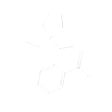 CCC[P+](CC)(CC)CC.O=C([O-])c1ccccc1